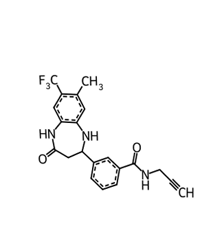 C#CCNC(=O)c1cccc(C2CC(=O)Nc3cc(C(F)(F)F)c(C)cc3N2)c1